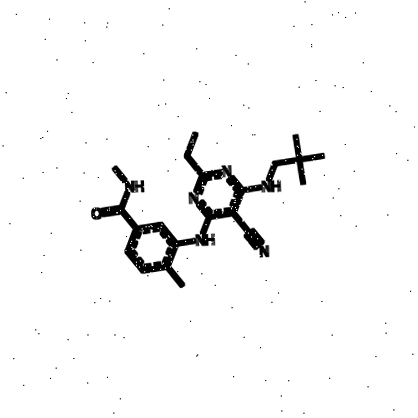 CCc1nc(NCC(C)(C)C)c(C#N)c(Nc2cc(C(=O)NC)ccc2C)n1